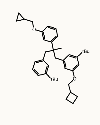 CC(C)(C)c1cccc(CC(C)(Cc2cc(OCC3CCC3)cc(C(C)(C)C)c2)c2cccc(OCC3CC3)c2)c1